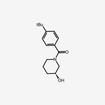 CC(C)(C)c1ccc(C(=O)N2CCC[C@H](O)C2)cc1